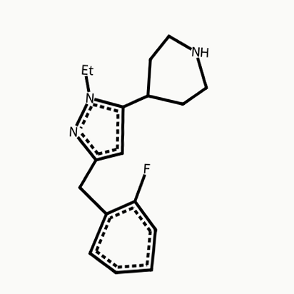 CCn1nc(Cc2ccccc2F)cc1C1CCNCC1